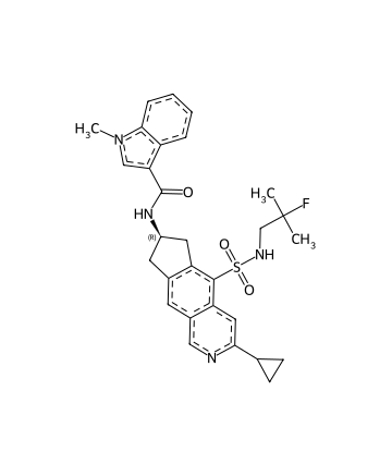 Cn1cc(C(=O)N[C@@H]2Cc3cc4cnc(C5CC5)cc4c(S(=O)(=O)NCC(C)(C)F)c3C2)c2ccccc21